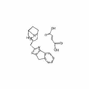 CN1C2CCC1CC(Cc1nc3c(s1)Cc1ccccc1-3)C2.O=C(O)/C=C/C(=O)O